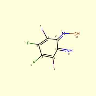 N=C1C(I)=C(F)C(F)=C(I)/C1=N/S